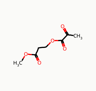 COC(=O)CCOC(=O)C(C)=O